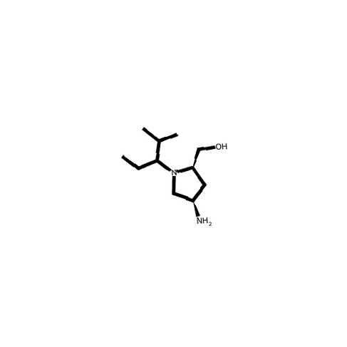 CCC(C(C)C)N1C[C@H](N)C[C@@H]1CO